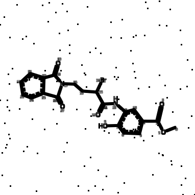 COC(=O)c1ccc(O)c(NC(=O)C(Br)CCN2C(=O)c3ccccc3C2=O)c1